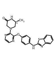 C[C@H]1CN(c2nccnc2Oc2ccc(Nc3nc4ccccc4s3)cc2)CC(=O)N1